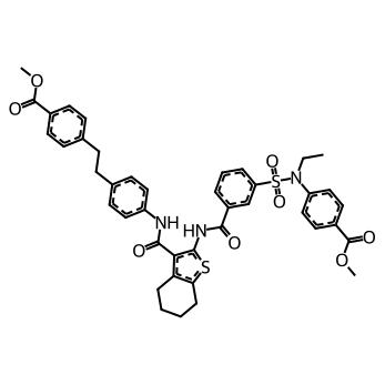 CCN(c1ccc(C(=O)OC)cc1)S(=O)(=O)c1cccc(C(=O)Nc2sc3c(c2C(=O)Nc2ccc(CCc4ccc(C(=O)OC)cc4)cc2)CCCC3)c1